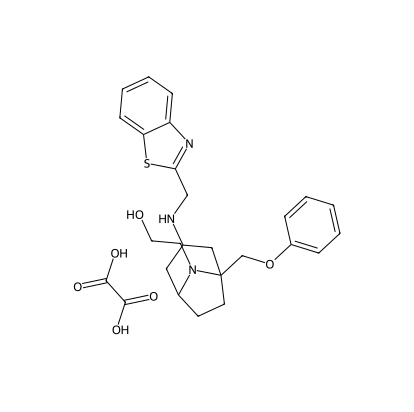 O=C(O)C(=O)O.OCCN1C2CCC1(COc1ccccc1)CC(NCc1nc3ccccc3s1)C2